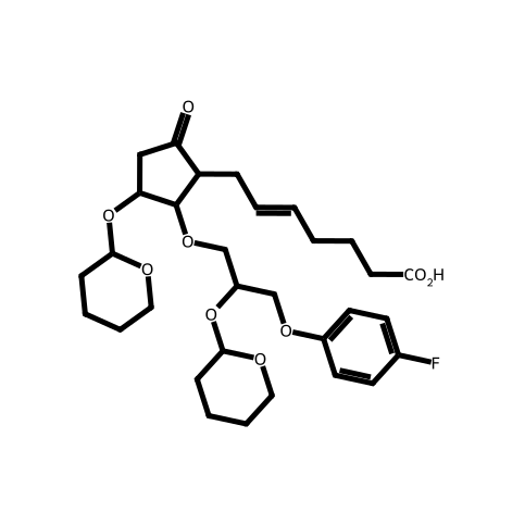 O=C(O)CCCC=CCC1C(=O)CC(OC2CCCCO2)C1OCC(COc1ccc(F)cc1)OC1CCCCO1